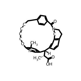 Cc1cc2cnc1OCCCCCc1ccc(cc1)C(=O)N1CCc3ccc(cc3C1)[C@@H]2[C@@H](C)C(=O)O